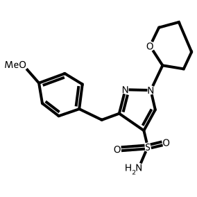 COc1ccc(Cc2nn(C3CCCCO3)cc2S(N)(=O)=O)cc1